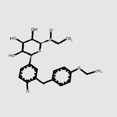 CCOc1ccc(Cc2cc([C@@H]3O[C@H]([S+]([O-])CC)C(O)C(O)C3O)ccc2Cl)cc1